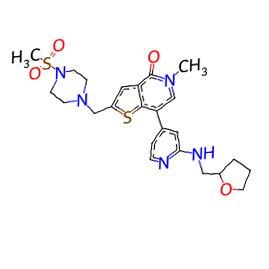 Cn1cc(-c2ccnc(NCC3CCCO3)c2)c2sc(CN3CCN(S(C)(=O)=O)CC3)cc2c1=O